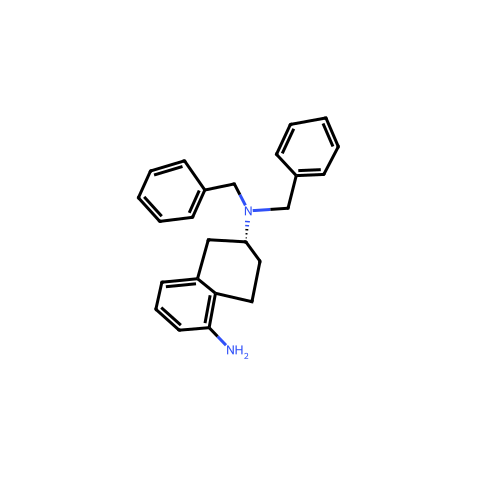 Nc1cccc2c1CC[C@@H](N(Cc1ccccc1)Cc1ccccc1)C2